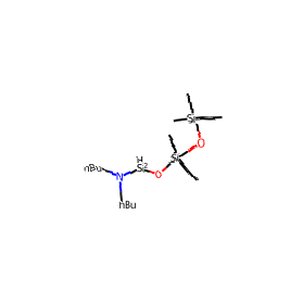 CCCCN(CCCC)[SiH2]O[Si](C)(C)O[Si](C)(C)C